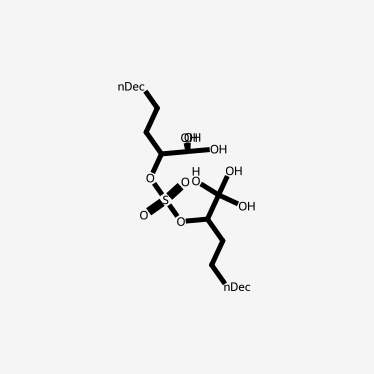 CCCCCCCCCCCCC(OS(=O)(=O)OC(CCCCCCCCCCCC)C(O)(O)O)C(O)(O)O